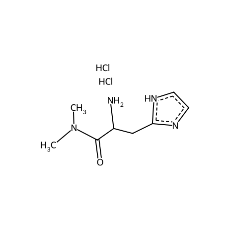 CN(C)C(=O)C(N)Cc1ncc[nH]1.Cl.Cl